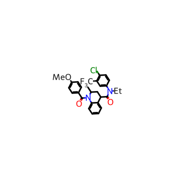 CCN(C(=O)C1CC(C)N(C(=O)c2ccc(OC)cc2)c2ccccc21)c1ccc(Cl)c(C(F)(F)F)c1